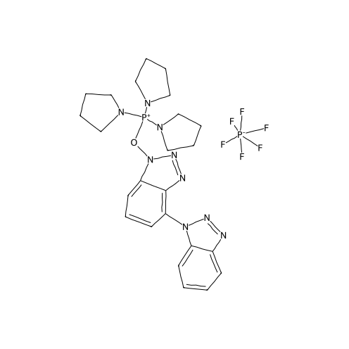 F[P-](F)(F)(F)(F)F.c1ccc2c(c1)nnn2-c1cccc2c1nnn2O[P+](N1CCCC1)(N1CCCC1)N1CCCC1